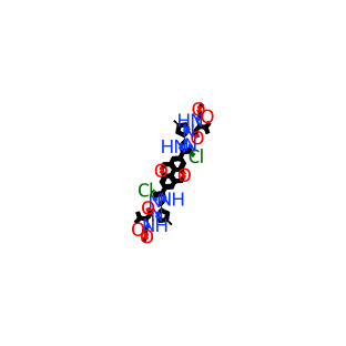 COC(=O)N[C@H](C(=O)N1C[C@H](C)C[C@H]1c1nc(Cl)c(-c2cc3c4c(c2)OCc2cc(-c5[nH]c([C@@H]6C[C@@H](C)CN6C(=O)[C@@H](NC(=O)OC)C(C)C)nc5Cl)cc(c2-4)OC3)[nH]1)C(C)C